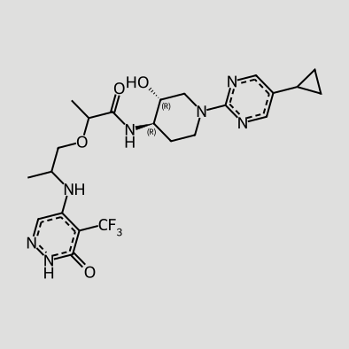 CC(COC(C)C(=O)N[C@@H]1CCN(c2ncc(C3CC3)cn2)C[C@H]1O)Nc1cn[nH]c(=O)c1C(F)(F)F